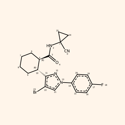 N#CC1(NC(=O)[C@@H]2CCCC[C@H]2c2nn(-c3ccc(F)cc3)cc2Br)CC1